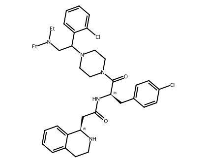 CCN(CC)CC(c1ccccc1Cl)N1CCN(C(=O)[C@@H](Cc2ccc(Cl)cc2)NC(=O)C[C@H]2NCCc3ccccc32)CC1